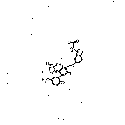 Cc1ccc(F)c(-c2cc(F)c(COc3ccc4c(c3)[C@]3(CC4)C[C@H]3C(=O)O)cc2[C@H]2CCCC2(C)C)c1